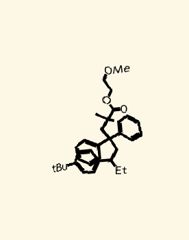 CCC(CC(CC(C)(C)C(=O)OCCOC)(c1ccccc1)c1ccccc1)c1ccc(C(C)(C)C)cc1